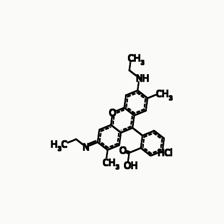 CCN=c1cc2oc3cc(NCC)c(C)cc3c(-c3ccccc3C(=O)O)c-2cc1C.Cl